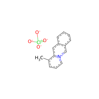 Cc1ccc[n+]2cc3ccccc3cc12.[O-][Cl+3]([O-])([O-])[O-]